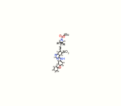 CC(C)(C)OC(=O)N1C[C@@H]2C(C#Cc3cc4ncnc(Nc5ccc(Oc6ccccc6)cc5)c4cc3[N+](=O)[O-])[C@@H]2C1